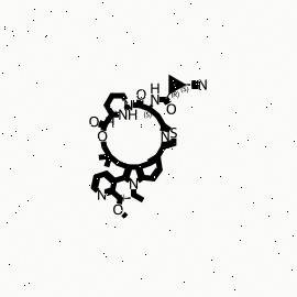 CCn1c(-c2cccnc2[C@H](C)OC)c2c3cc(ccc31)-c1csc(n1)C[C@H](NC(=O)[C@@H]1C[C@@H]1C#N)C(=O)N1CCC[C@H](N1)C(=O)OCC(C)(C)C2